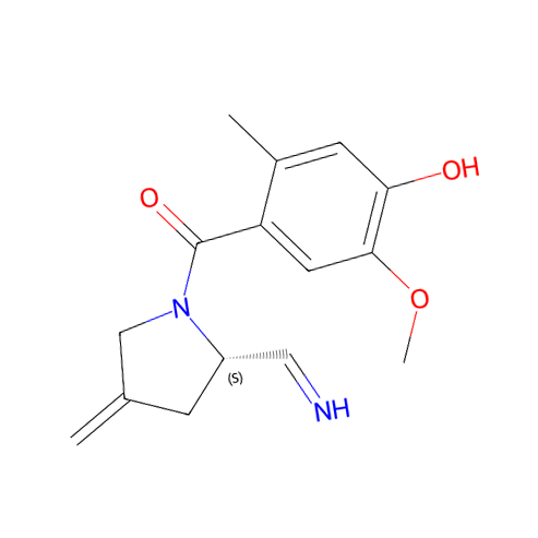 C=C1C[C@@H](C=N)N(C(=O)c2cc(OC)c(O)cc2C)C1